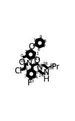 Cc1cc(Oc2ccccc2)ccc1N(C(=O)CCl)C(C(=O)N1CCN[C@H](C(C)C)C1)c1ccc(F)cc1